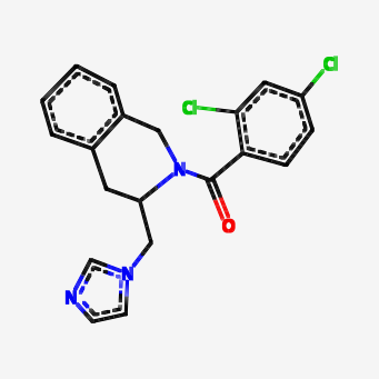 O=C(c1ccc(Cl)cc1Cl)N1Cc2ccccc2CC1Cn1ccnc1